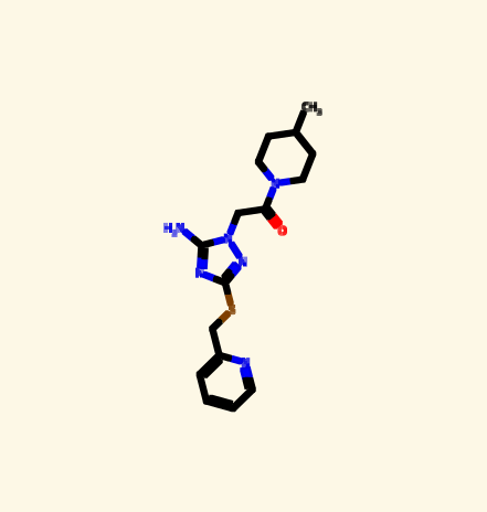 CC1CCN(C(=O)Cn2nc(SCc3ccccn3)nc2N)CC1